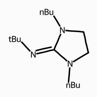 CCCCN1CCN(CCCC)C1=NC(C)(C)C